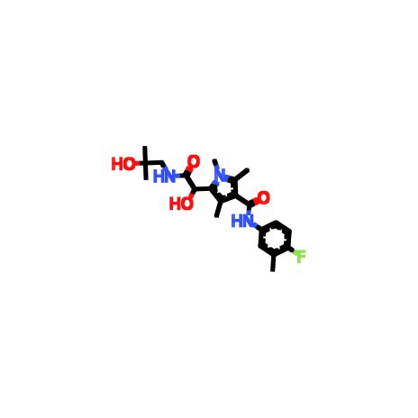 Cc1cc(NC(=O)c2c(C)c(C(O)C(=O)NCC(C)(C)O)n(C)c2C)ccc1F